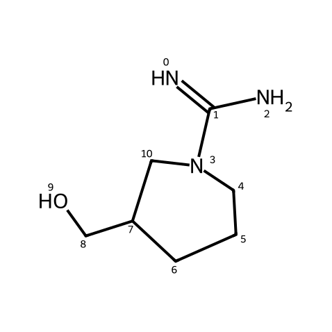 N=C(N)N1CCCC(CO)C1